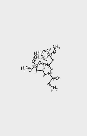 C=CC(=O)N(CCC[Si](OC)(OC)OC)CCC[Si](OC)(OC)OC